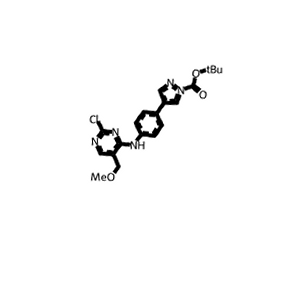 COCc1cnc(Cl)nc1Nc1ccc(-c2cnn(C(=O)OC(C)(C)C)c2)cc1